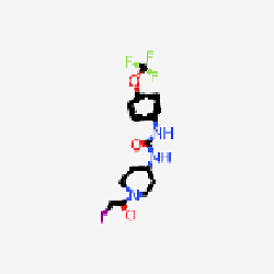 O=C(Nc1ccc(OC(F)(F)F)cc1)NC1CCN(C(=O)CI)CC1